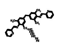 Cc1cc(Cc2cc(C)c(N=Cc3ccccn3)c(C)c2)cc(C)c1N=Cc1ccccn1.Cl.Cl.Cl.Cl.[Pd].[Pd]